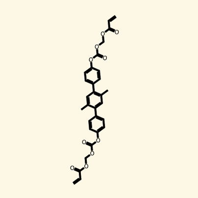 C=CC(=O)OCOC(=O)Oc1ccc(-c2cc(C)c(-c3ccc(OC(=O)OCOC(=O)C=C)cc3)cc2C)cc1